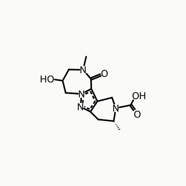 C[C@@H]1Cc2nn3c(c2CN1C(=O)O)C(=O)N(C)CC(O)C3